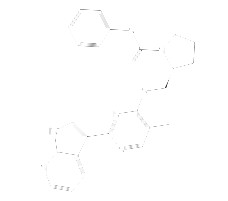 O=C(Nc1ccccc1)N1CCC[C@H]1CNc1nc(C2=CNC3NC=CC=C23)ncc1F